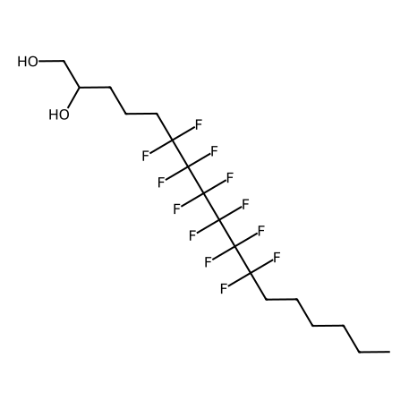 CCCCCCC(F)(F)C(F)(F)C(F)(F)C(F)(F)C(F)(F)C(F)(F)CCCC(O)CO